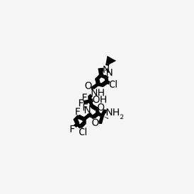 C[C@]1(C(N)=O)COc2c1cc(C(O)(CNC(=O)c1cc(Cl)c3nn(C4CC4)cc3c1)C(F)(F)F)nc2-c1cc(Cl)c(F)cc1F